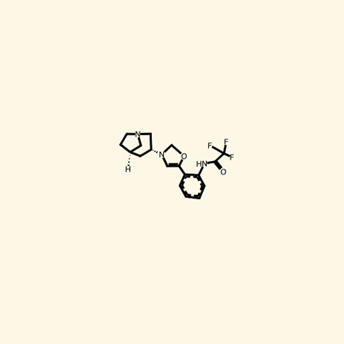 O=C(Nc1ccccc1C1=CN([C@@H]2C[C@H]3CCN(C3)C2)CO1)C(F)(F)F